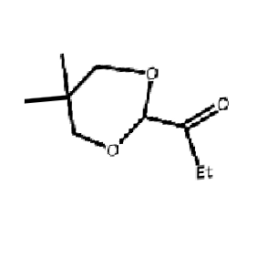 CCC(=O)C1OCC(C)(C)CO1